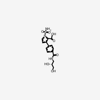 NS(=O)(=O)n1ccc(-c2ccc(C(=O)NC[C@@H](O)CO)cc2)c1C(=O)O